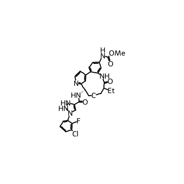 CCC1CCC[C@H](NC(=O)C2=CN(c3cccc(Cl)c3F)NN2)c2cc(ccn2)-c2ccc(NC(=O)OC)cc2NC1=O